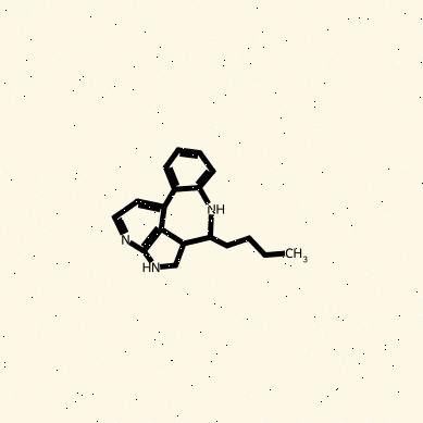 CCCCC1Nc2ccccc2-c2ccnc3c2C1CN3